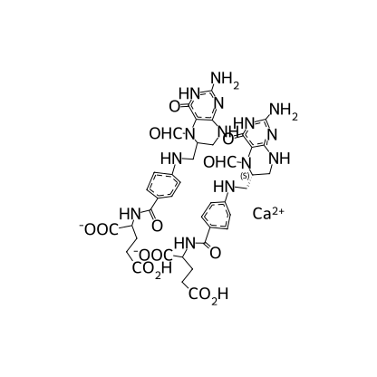 Nc1nc2c(c(=O)[nH]1)N(C=O)C(CNc1ccc(C(=O)NC(CCC(=O)O)C(=O)[O-])cc1)CN2.Nc1nc2c(c(=O)[nH]1)N(C=O)[C@@H](CNc1ccc(C(=O)NC(CCC(=O)O)C(=O)[O-])cc1)CN2.[Ca+2]